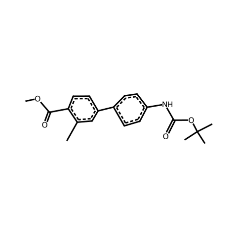 COC(=O)c1ccc(-c2ccc(NC(=O)OC(C)(C)C)cc2)cc1C